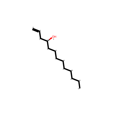 C=CC[C@@H](O)CCCCCCCCC